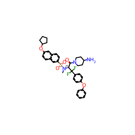 CN([C@@H](C(=O)N1CCC(N)CC1)C(F)(F)c1ccc(Oc2ccccc2)cc1)S(=O)(=O)c1ccc2cc(OC3CCCC3)ccc2c1